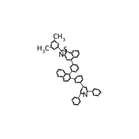 Cc1cc(C)cc(-c2nc3cc(-c4cccc(-c5c(-c6cccc(-c7cc(-c8ccccc8)nc(-c8ccccc8)c7)c6)ccc6ccccc56)c4)c4ccccc4c3s2)c1